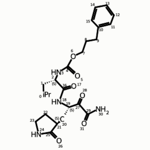 CC(C)C[C@H](NC(=O)OCCCc1ccccc1)C(=O)N[C@@H](C[C@@H]1CCNC1=O)C(=O)C(N)=O